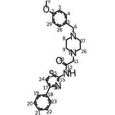 COc1ccc(CN2CCN(CC(=O)Nc3nc(-c4ccccc4)cs3)CC2)cc1